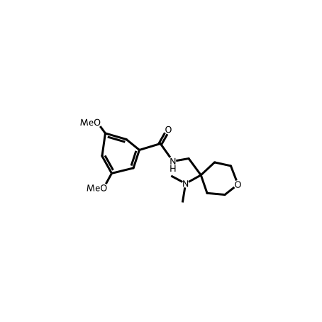 COc1cc(OC)cc(C(=O)NCC2(N(C)C)CCOCC2)c1